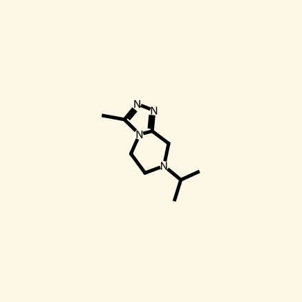 Cc1nnc2n1CCN(C(C)C)C2